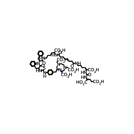 O=C(O)CC[C@H](NC(=O)N[C@@H](CCCCNC(=O)CCCCCCC(=O)NC(CCCCNC(=O)C(Cc1ccccc1)NC(=O)C(Cc1ccccc1)NC(=S)Nc1ccc(CC2CN(CC(=O)O)CCN(CC(=O)O)C/C(C(=O)O)=N/2)cc1)C(=O)O)C(=O)O)C(=O)O